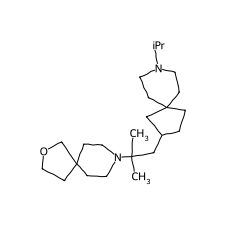 CC(C)N1CCC2(CCC(CC(C)(C)N3CCC4(CCOC4)CC3)C2)CC1